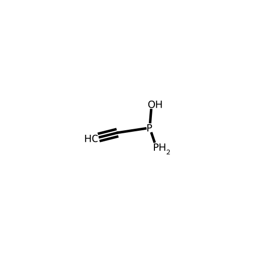 C#CP(O)P